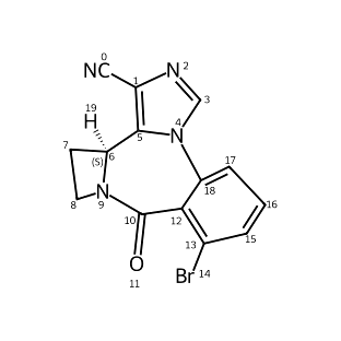 N#Cc1ncn2c1[C@@H]1CCN1C(=O)c1c(Br)cccc1-2